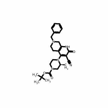 C[C@H]1CN(C(=O)OC(C)(C)C)CCN1c1c2c([nH]c(=O)c1C#N)CN(Cc1ccccc1)CC2